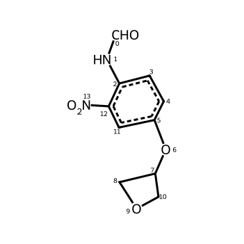 O=CNc1ccc(OC2COC2)cc1[N+](=O)[O-]